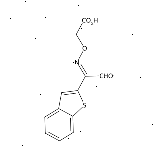 O=[C]C(=NOCC(=O)O)c1cc2ccccc2s1